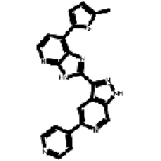 Cc1ccc(-c2ccnc3[nH]c(-c4n[nH]c5cnc(-c6ccncc6)cc45)nc23)s1